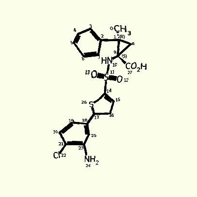 C[C@]1(c2ccccc2)C[C@@]1(NS(=O)(=O)C1=CCC(c2ccc(Cl)c(N)c2)S1)C(=O)O